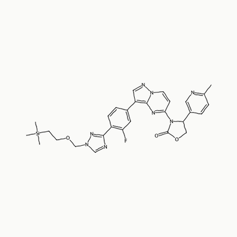 Cc1ccc(C2COC(=O)N2c2ccn3ncc(-c4ccc(-c5ncn(COCC[Si](C)(C)C)n5)c(F)c4)c3n2)cn1